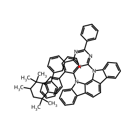 CC1CC(C)(C)c2ccc(-c3ccccc3-n3c4ccccc4c4ccc5c6ccccc6n(-c6nc(-c7ccccc7)nc(C7C=CC=C(c8ccccc8)C7)n6)c5c43)cc2C1(C)C